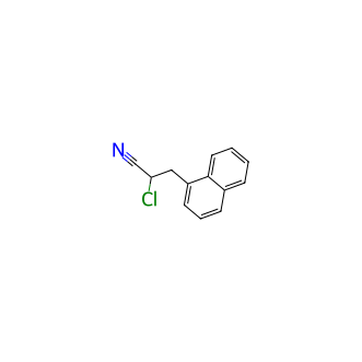 N#CC(Cl)Cc1cccc2ccccc12